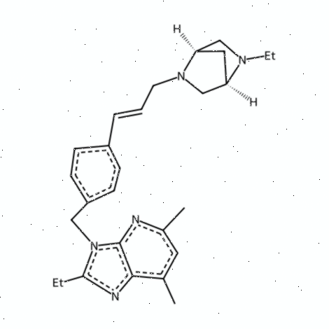 CCc1nc2c(C)cc(C)nc2n1Cc1ccc(C=CCN2C[C@H]3C[C@@H]2CN3CC)cc1